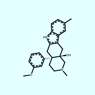 COc1cccc([C@@]23CCN(C)C[C@@]2(O)Cc2c([nH]c4ccc(C)cc24)C3)c1